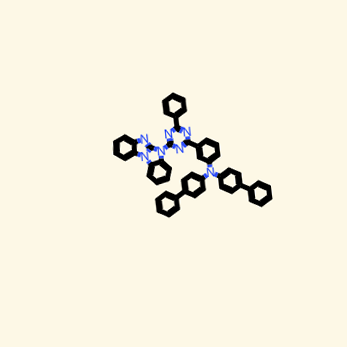 c1ccc(-c2ccc(N(c3ccc(-c4ccccc4)cc3)c3cccc(-c4nc(-c5ccccc5)nc(-n5c6ccccc6n6c7ccccc7nc56)n4)c3)cc2)cc1